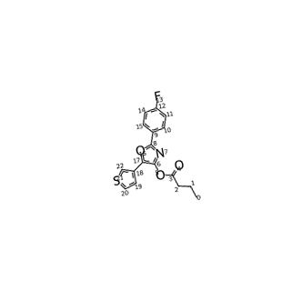 CCCC(=O)Oc1nc(-c2ccc(F)cc2)oc1-c1ccsc1